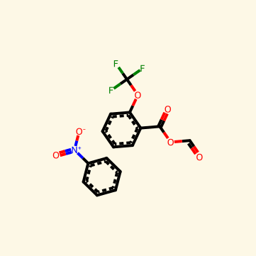 O=COC(=O)c1ccccc1OC(F)(F)F.O=[N+]([O-])c1ccccc1